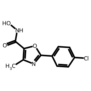 Cc1nc(-c2ccc(Cl)cc2)oc1C(=O)NO